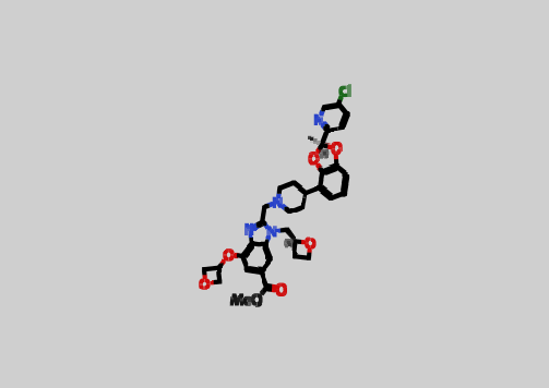 COC(=O)c1cc(OC2COC2)c2nc(CN3CCC(c4cccc5c4O[C@@](C)(c4ccc(Cl)cn4)O5)CC3)n(C[C@@H]3CCO3)c2c1